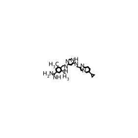 Cc1cc(C(=N)N)cc(C)c1CNc1cc(NCc2cn3cc(C4CC4)ccc3n2)ncn1